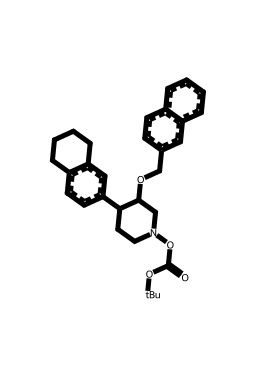 CC(C)(C)OC(=O)ON1CCC(c2ccc3c(c2)CCCC3)C(OCc2ccc3ccccc3c2)C1